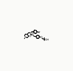 CN1CCC(CN(Cc2ccc(F)cc2)C(=O)NCc2ccc(OCC(C)(C)O)cc2)CC1